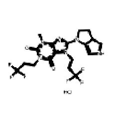 Cl.Cn1c(=O)n(CCC(F)(F)F)c(=O)c2c1nc(N1CCC3CNC=C31)n2CCC(F)(F)F